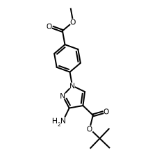 COC(=O)c1ccc(-n2cc(C(=O)OC(C)(C)C)c(N)n2)cc1